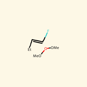 CCC=CF.COOOC